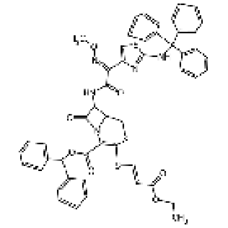 CCOC(=O)C=CSC1=C(C(=O)OC(c2ccccc2)c2ccccc2)N2C(=O)C(NC(=O)C(=NOC)c3csc(NC(c4ccccc4)(c4ccccc4)c4ccccc4)n3)C2CS1